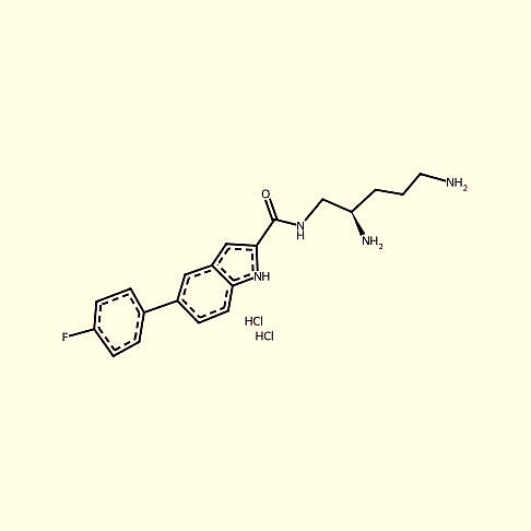 Cl.Cl.NCCC[C@@H](N)CNC(=O)c1cc2cc(-c3ccc(F)cc3)ccc2[nH]1